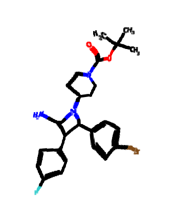 CC(C)(C)OC(=O)N1CCC(N2C(N)C(c3ccc(F)cc3)C2c2ccc(Br)cc2)CC1